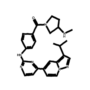 CNC1CCN(C(=O)c2ccc(Nc3nccc(-c4ccn5ncc(C(C)C)c5c4)n3)cc2)C1